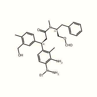 CCN(N)c1ccc([C@H](CC(=O)N(C)[C@H](COC=O)Cc2ccccc2)c2ccc(C)c(CO)c2)c(C)c1N